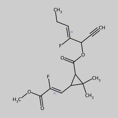 C#CC(OC(=O)C1C(/C=C(\F)C(=O)OC)C1(C)C)/C(F)=C/CC